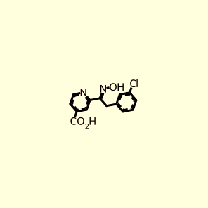 O=C(O)c1ccnc(/C(Cc2cccc(Cl)c2)=N/O)c1